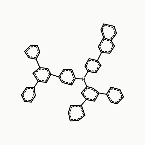 c1ccc(-c2cc(-c3ccccc3)cc(-c3ccc(N(c4ccc(-c5ccc6ccccc6c5)cc4)c4cc(-c5ccccc5)cc(-c5ccccc5)c4)cc3)c2)cc1